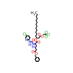 CCCCCCCCCCCCCC(CC(=O)OCC(Cl)(Cl)Cl)OC(=O)C(CCCC(=O)OCc1ccccc1)NC(=O)Nc1ccc(Cl)cn1